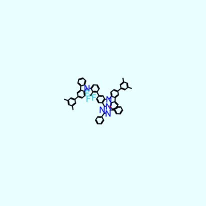 Cc1cc(C)cc(-c2ccc3c(c2)c2ccccc2n3-c2cc(-c3cccc(-n4c5ccccc5c5cc(-c6cc(C)cc(C)c6)ccc54)c3C(F)(F)F)ccc2-c2nc(-c3ccccc3)nc(-c3ccccc3)n2)c1